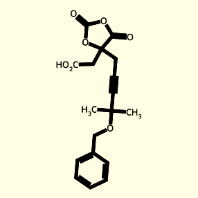 CC(C)(C#CCC1(CC(=O)O)OC(=O)OC1=O)OCc1ccccc1